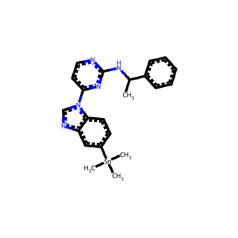 CC(Nc1nccc(-n2cnc3c[c]([Sn]([CH3])([CH3])[CH3])ccc32)n1)c1ccccc1